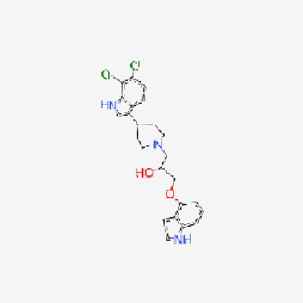 OC(COc1cccc2[nH]ccc12)CN1CCC(c2c[nH]c3c(Cl)c(Cl)ccc23)CC1